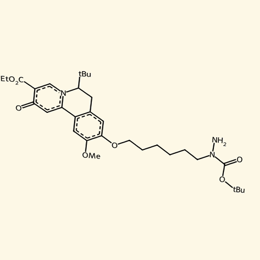 CCOC(=O)c1cn2c(cc1=O)-c1cc(OC)c(OCCCCCCN(N)C(=O)OC(C)(C)C)cc1CC2C(C)(C)C